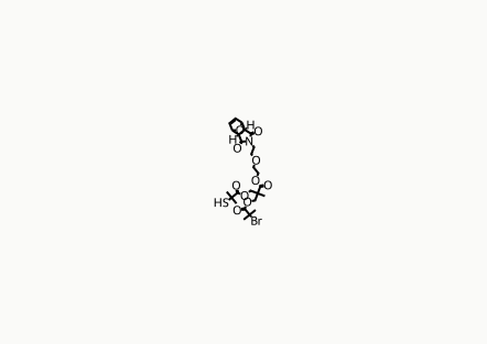 CC(C)(S)C(=O)OCC(C)(COC(=O)C(C)(C)Br)C(=O)OCCOCCN1C(=O)[C@@H]2C3C=CC(O3)[C@@H]2C1=O